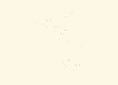 CC(N)c1nc(SCC2=C(C(=O)O)N3C(=O)C(NC(=O)C(NC(=O)c4nnc(O)nc4O)c4ccc(O)cc4)[C@@H]3SC2)n[nH]1